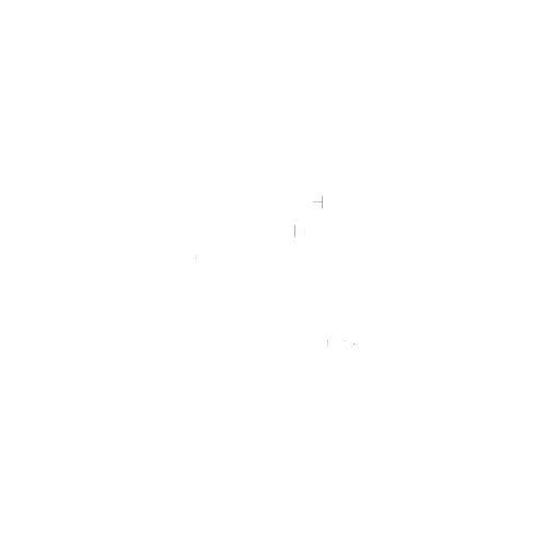 [Ga+2][c]1ccccc1.[H-].[H-]